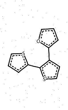 c1coc(-c2ccsc2-c2cccs2)c1